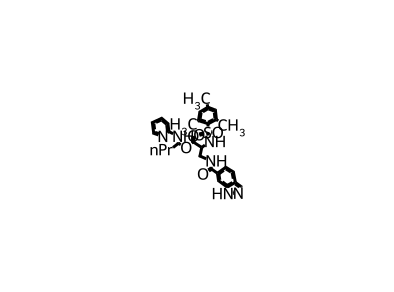 CCCC(Nc1ccccn1)OC(=O)C(CNC(=O)c1ccc2cn[nH]c2c1)NS(=O)(=O)c1c(C)cc(C)cc1C